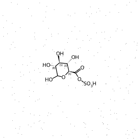 O=C(OS(=O)(=O)O)[C@H]1OC(O)[C@H](O)[C@@H](O)[C@@H]1O